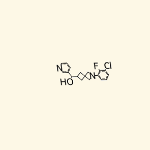 OC(c1cccnc1)C1CC2(C1)CN(c1cccc(Cl)c1F)C2